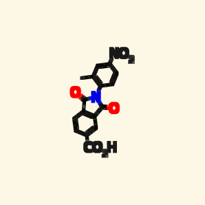 Cc1cc([N+](=O)[O-])ccc1N1C(=O)c2ccc(C(=O)O)cc2C1=O